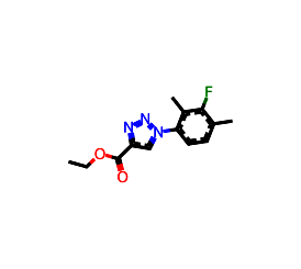 CCOC(=O)c1cn(-c2ccc(C)c(F)c2C)nn1